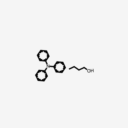 CCCCO.c1ccc(N(c2ccccc2)c2ccccc2)cc1